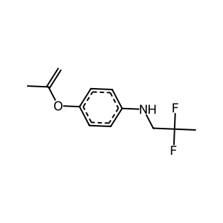 C=C(C)Oc1ccc(NCC(C)(F)F)cc1